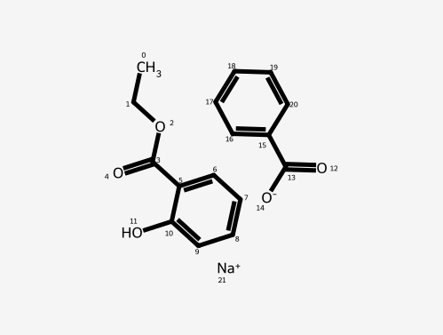 CCOC(=O)c1ccccc1O.O=C([O-])c1ccccc1.[Na+]